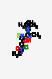 CCc1ncc(-c2nc(F)cc(-c3ccc(-n4ccn(C)c4=O)c(Cl)c3)c2O)cc1N1CCN(C(C)(C)C)CC1